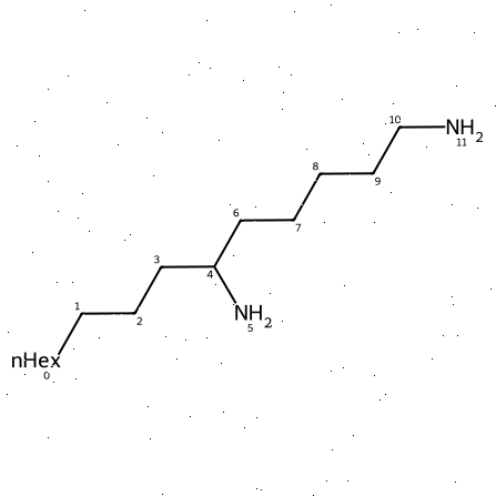 CCCCCCCCCC(N)CCCCCN